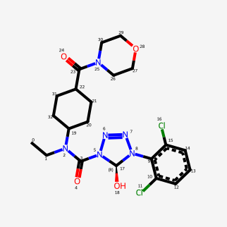 CCN(C(=O)N1N=NN(c2c(Cl)cccc2Cl)[C@H]1O)C1CCC(C(=O)N2CCOCC2)CC1